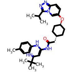 Cc1ccc(N/C(=C\C(=N)C(C)(C)C)NC(=O)C[C@H]2CC[C@H](Oc3ccc4nnc(C(C)C)n4c3)CC2)cc1